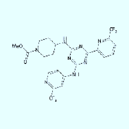 COC(=O)N1CCC(Nc2nc(Nc3ccnc(C(F)(F)F)c3)nc(-c3cccc(C(F)(F)F)n3)n2)CC1